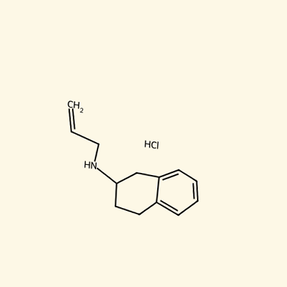 C=CCNC1CCc2ccccc2C1.Cl